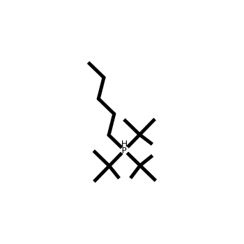 CCCCC[PH](C(C)(C)C)(C(C)(C)C)C(C)(C)C